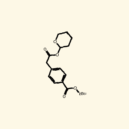 CC(C)(C)OC(=O)c1ccc(CC(=O)OC2CCCCO2)cc1